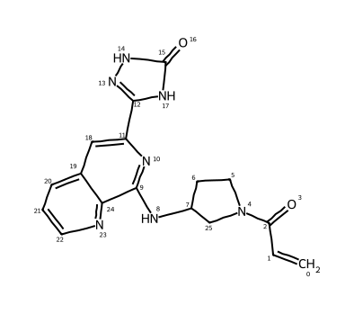 C=CC(=O)N1CCC(Nc2nc(-c3n[nH]c(=O)[nH]3)cc3cccnc23)C1